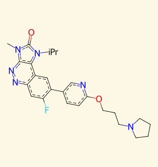 CC(C)n1c(=O)n(C)c2nnc3cc(F)c(-c4ccc(OCCCN5CCCC5)nc4)cc3c21